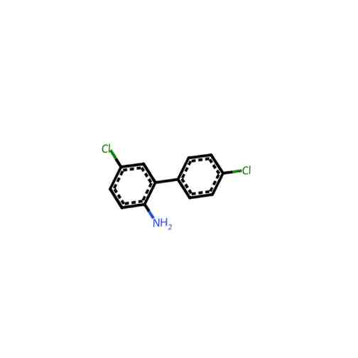 Nc1ccc(Cl)cc1-c1ccc(Cl)cc1